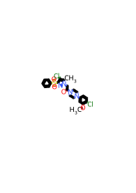 COc1cc(N2CCN(C(=O)Cn3nc(S(=O)(=O)c4ccccc4)c(Cl)c3C)CC2)ccc1Cl